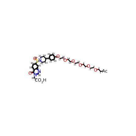 CC(=O)CCOCCOCCOCCOCCOCCOc1ccc(C2CCN([S+]([O-])c3ccc4c(=O)n(CC(=O)O)cnc4c3)CC2)cc1